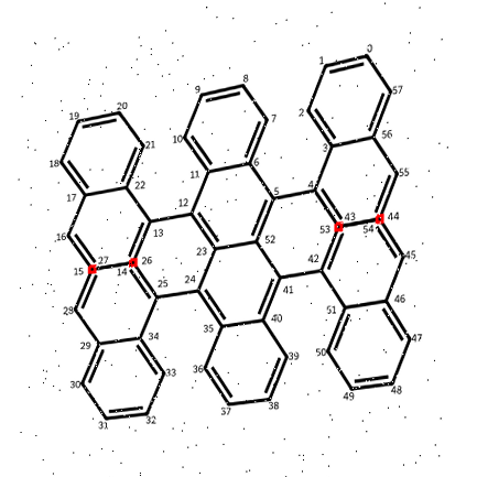 c1ccc2c(-c3c4ccccc4c(-c4cccc5ccccc45)c4c(-c5cccc6ccccc56)c5ccccc5c(-c5cccc6ccccc56)c34)cccc2c1